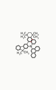 CC1(C)CCC(C)(C)c2cc(-c3cc4c(cc3N(c3ccccc3)c3cc5ccccc5c5ccccc35)C(C)(C)c3ccccc3-4)ccc21